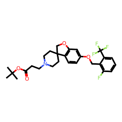 CC(C)(C)OC(=O)CCN1CCC2(CC1)COc1cc(OCc3c(F)cccc3C(F)(F)F)ccc12